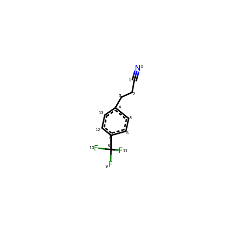 N#CCCc1ccc(C(F)(F)F)cc1